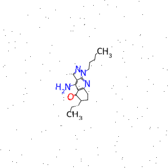 CCCCCn1ncc2c(N)c3c(nc21)CCC(CCC)C3=O